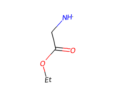 CCOC(=O)C[NH]